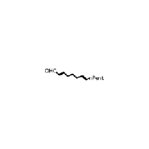 CCCCCC=CCCCC=CC=O